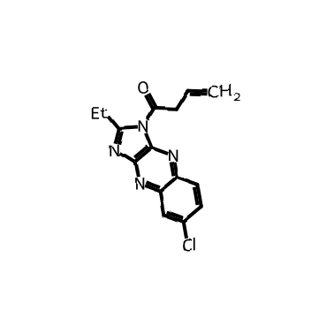 C=CCC(=O)n1c(CC)nc2nc3cc(Cl)ccc3nc21